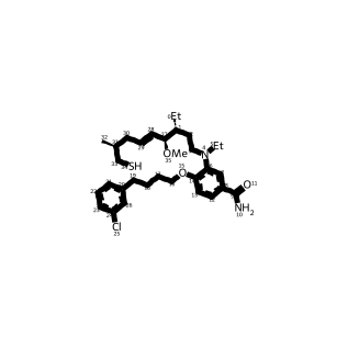 CC[C@H](CCN(CC)c1cc(C(N)=O)ccc1OCCCCc1cccc(Cl)c1)[C@H](/C=C/C[C@H](C)CS)OC